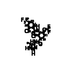 CN1NNN=C1NC(=O)c1ccc(OC(F)F)c(NC(=O)c2ncc(C(F)(F)F)cc2Cl)c1Cl